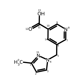 Cc1ccn(Cc2cncc(C(=O)O)c2)n1